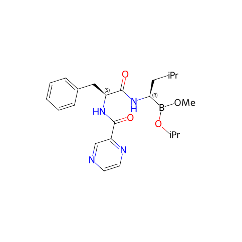 COB(OC(C)C)[C@H](CC(C)C)NC(=O)[C@H](Cc1ccccc1)NC(=O)c1cnccn1